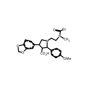 CCC(=O)N(C)CCN1CC(c2ccc3c(c2)OCO3)C(C(=O)O)C1c1ccc(OC)cc1